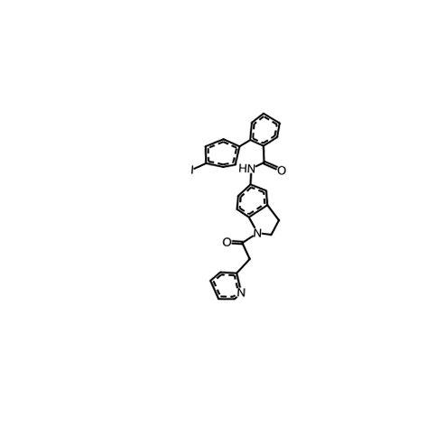 O=C(Nc1ccc2c(c1)CCN2C(=O)Cc1ccccn1)c1ccccc1-c1ccc(I)cc1